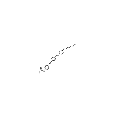 CCCCCCCC[C@H]1CC[C@H](CCc2ccc(C#Cc3ccc(OC(F)F)cc3)cc2)CC1